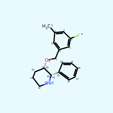 Cc1cc(F)cc(CO[C@H]2CCCN[C@H]2c2ccccc2)c1